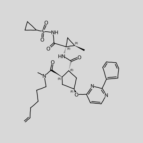 C=CCCCCN(C)C(=O)[C@@H]1C[C@H](Oc2ccnc(-c3ccccc3)n2)C[C@H]1C(=O)N[C@]1(C(=O)NS(=O)(=O)C2CC2)C[C@H]1C